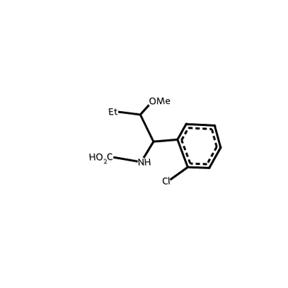 CCC(OC)C(NC(=O)O)c1ccccc1Cl